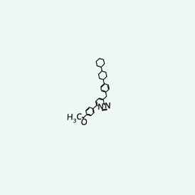 CC(=O)c1ccc(-c2ccc(Cc3ccc(C4CCC(C5CCCCC5)CC4)cc3)c3nccn23)cc1